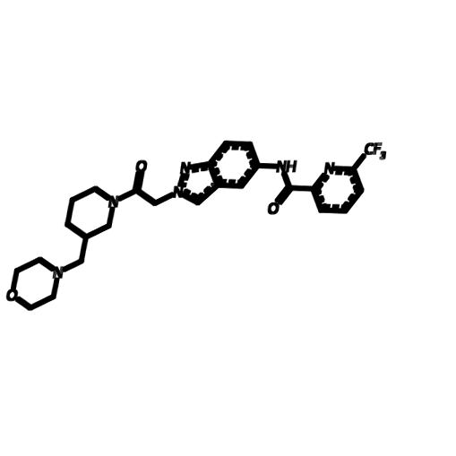 O=C(Nc1ccc2nn(CC(=O)N3CCCC(CN4CCOCC4)C3)cc2c1)c1cccc(C(F)(F)F)n1